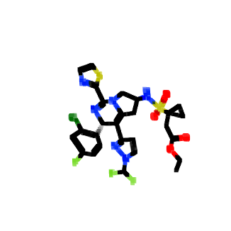 CCOC(=O)CC1(S(=O)(=O)N[C@H]2CC3=C(c4ccn(C(F)F)n4)[C@H](c4ccc(F)cc4Cl)N=C(c4nccs4)N3C2)CC1